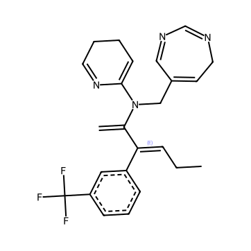 C=C(/C(=C/CC)c1cccc(C(F)(F)F)c1)N(CC1=CCN=CN=C1)C1=CCCC=N1